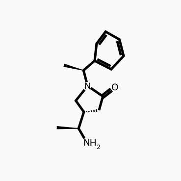 C[C@H](N)[C@H]1CC(=O)N([C@@H](C)c2ccccc2)C1